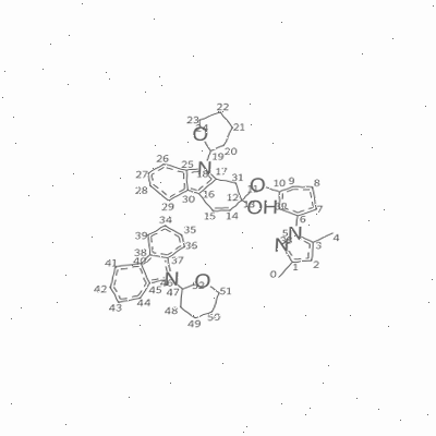 Cc1cc(C)n(-c2cccc(OC3(O)C=Cc4c(n(C5CCCCO5)c5ccccc45)C3)c2)n1.c1ccc2c(c1)c1ccccc1n2C1CCCCO1